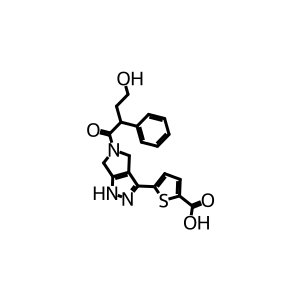 O=C(O)c1ccc(-c2n[nH]c3c2CN(C(=O)C(CCO)c2ccccc2)C3)s1